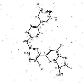 Cc1nc2c(F)cc(-c3nc(Nc4ccc(N5C[C@@H](C)N[C@@H](C)C5)cn4)ncc3F)cc2n1C(C)C